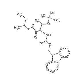 CCC(C)ONC(=O)C(NC(=O)OCC1c2ccccc2-c2ccccc21)C(C)OC(C)(C)C